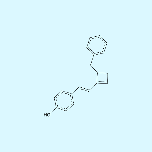 Oc1ccc(C=CC2=CCC2Cc2ccccc2)cc1